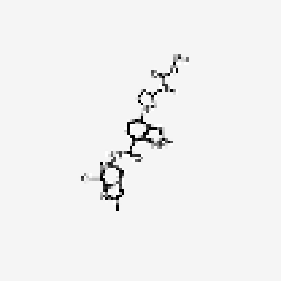 Cc1cn2cc(NC(=O)c3ccc(N4CC[C@@H](N(C)C(=O)OC(C)(C)C)C4)c4cc(C)[nH]c34)nc(Cl)c2n1